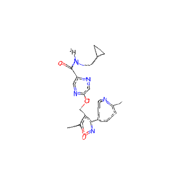 [2H]N(CC1CC1)C(=O)c1cnc(OCc2c(-c3ccc(C)nc3)noc2C)cn1